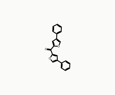 O=C(c1cc(-c2ccccc2)co1)c1cc(-c2ccccc2)co1